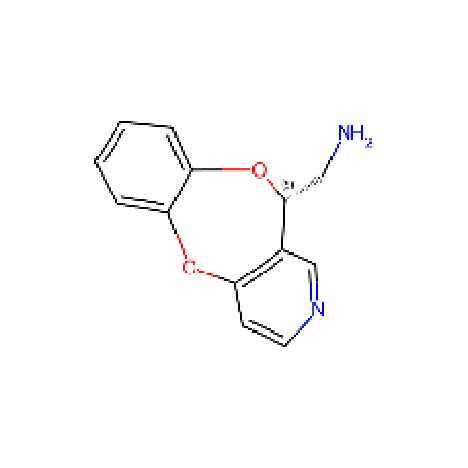 NC[C@H]1Oc2ccccc2Oc2ccncc21